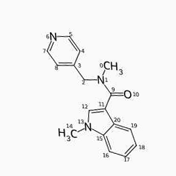 CN(Cc1ccncc1)C(=O)c1cn(C)c2ccccc12